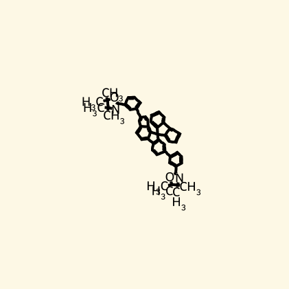 CC1(C)N=C(c2cccc(-c3ccc4c(c3)C3(c5ccccc5-c5ccccc53)c3c-4ccc4cc(-c5cccc(C6=NC(C)(C)C(C)(C)O6)c5)ccc34)c2)OC1(C)C